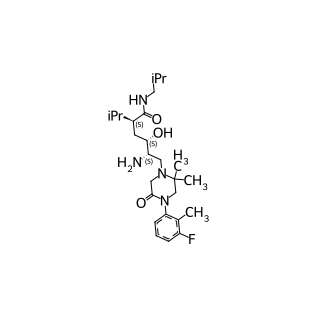 Cc1c(F)cccc1N1CC(C)(C)N(C[C@H](N)[C@@H](O)C[C@H](C(=O)NCC(C)C)C(C)C)CC1=O